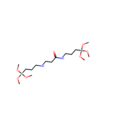 CO[Si](CCCNCCC(=O)NCCC[Si](OC)(OC)OC)(OC)OC